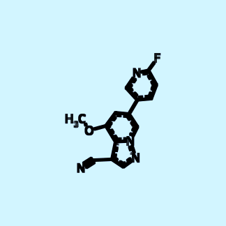 COc1cc(-c2ccc(F)nc2)cn2ncc(C#N)c12